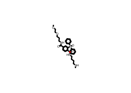 CNCCCCNC(=O)c1ccc(C(=O)NCCCOCCOC)cc1P(=O)(c1ccccc1)c1ccccc1